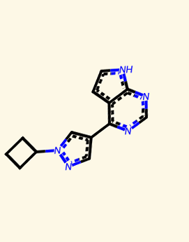 c1nc(-c2cnn(C3CCC3)c2)c2cc[nH]c2n1